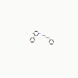 COc1ccc(NCCCCc2ccccc2)cc1-c1ccc(OC(F)(F)F)cc1